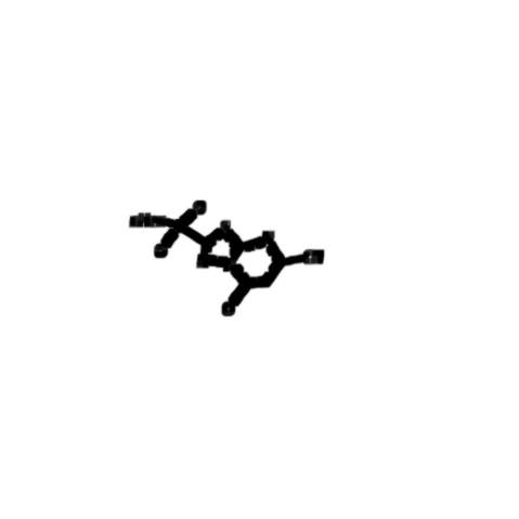 CCCCCCS(=O)(=O)c1nn2c(=O)cc(C#N)nc2s1